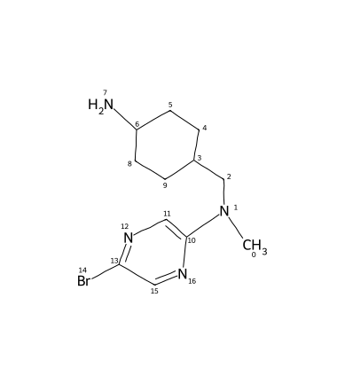 CN(CC1CCC(N)CC1)c1cnc(Br)cn1